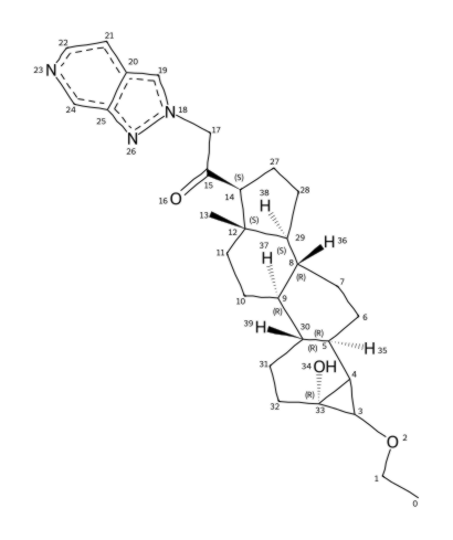 CCOC1C2[C@@H]3CC[C@@H]4[C@H](CC[C@]5(C)[C@@H](C(=O)Cn6cc7ccncc7n6)CC[C@@H]45)[C@H]3CC[C@]12O